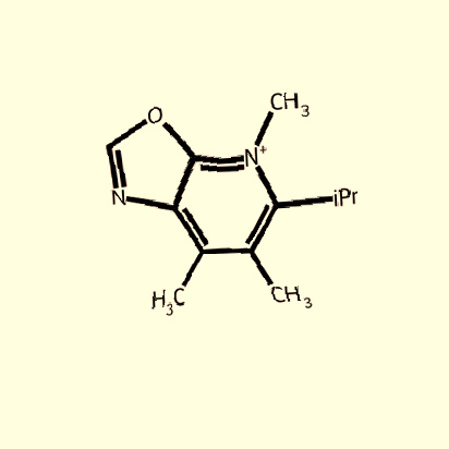 Cc1c(C)c2ncoc2[n+](C)c1C(C)C